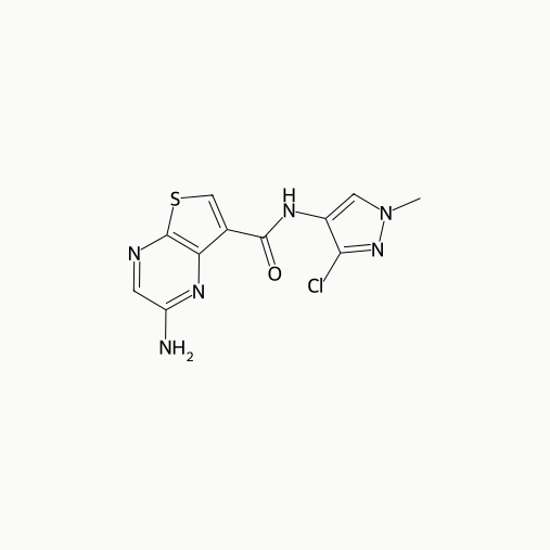 Cn1cc(NC(=O)c2csc3ncc(N)nc23)c(Cl)n1